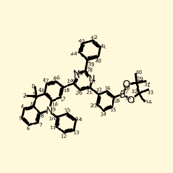 CC1(C)c2ccccc2N(c2ccccc2)c2cc(-c3cc(-c4cccc(B5OC(C)(C)C(C)(C)O5)c4)nc(-c4ccccc4)n3)ccc21